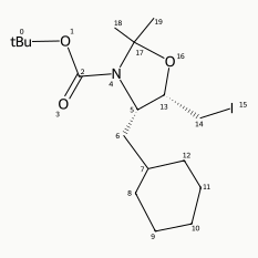 CC(C)(C)OC(=O)N1[C@@H](CC2CCCCC2)[C@@H](CI)OC1(C)C